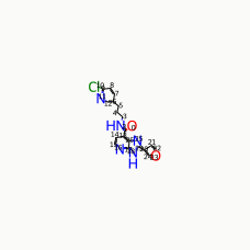 O=C(NCCCc1ccc(Cl)nc1)c1ccnc2[nH]c(-c3ccoc3)nc12